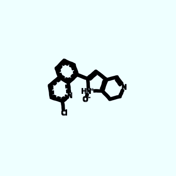 [O-][NH+]1C(c2cccc3ccc(Cl)nc23)=CC2=C1CCN=C2